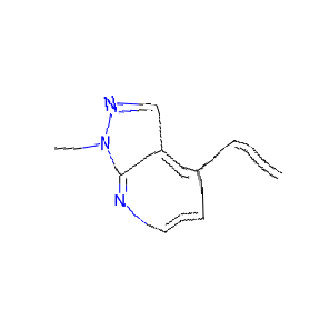 C=Cc1ccnc2c1cnn2C